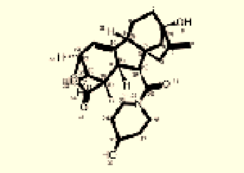 C=C1C[C@]23C[C@]1(O)CC[C@H]2C1=C[C@@H]2OC(=O)[C@@](C)([C@H]1[C@@H]3C(=O)N1CCC(O)CC1)[C@H]2O